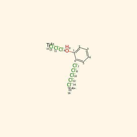 Oc1ccccc1.[Cl-].[Cl-].[Cl-].[Cl-].[Cl-].[Cl-].[Cl-].[Cl-].[Ti+4].[Ti+4]